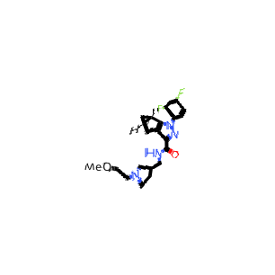 COCCN1CCC(CNC(=O)c2nn(-c3ccc(F)cc3F)c3c2C[C@H]2C[C@@H]32)C1